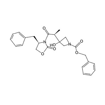 C[C@H](C(=O)N1C(=O)OC[C@H]1Cc1ccccc1)C1(O)CN(C(=O)OCc2ccccc2)C1